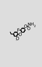 CCc1ccc(Oc2ccc(OC(N)=O)cc2F)c(OC)c1